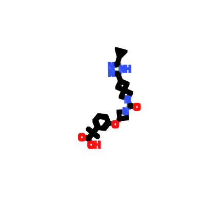 CC(C)(C(=O)O)c1cccc(OC2CN(C(=O)N3CC4(CC(c5nnc(C6CC6)[nH]5)C4)C3)C2)c1